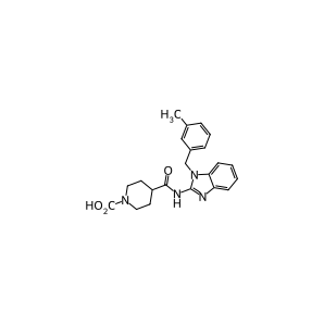 Cc1cccc(Cn2c(NC(=O)C3CCN(C(=O)O)CC3)nc3ccccc32)c1